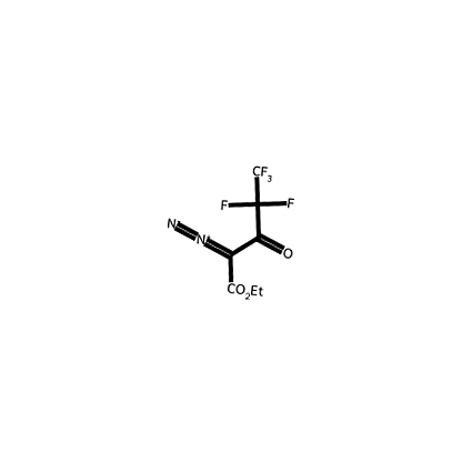 CCOC(=O)C(=[N+]=[N-])C(=O)C(F)(F)C(F)(F)F